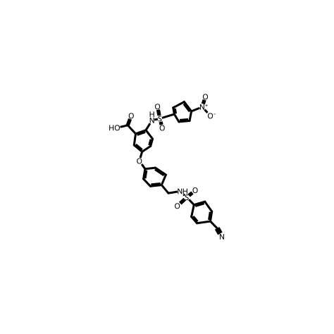 N#Cc1ccc(S(=O)(=O)NCc2ccc(Oc3ccc(NS(=O)(=O)c4ccc([N+](=O)[O-])cc4)c(C(=O)O)c3)cc2)cc1